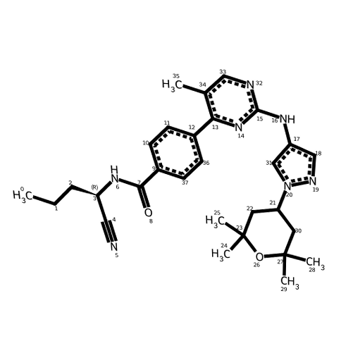 CCC[C@H](C#N)NC(=O)c1ccc(-c2nc(Nc3cnn(C4CC(C)(C)OC(C)(C)C4)c3)ncc2C)cc1